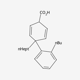 CCCCCCCC1(c2ccccc2CCCC)C=CC(C(=O)O)C=C1